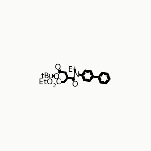 CCOC(=O)CC(CC(=O)OC(C)(C)C)C(=O)N(CC)c1ccc(-c2ccccc2)cc1